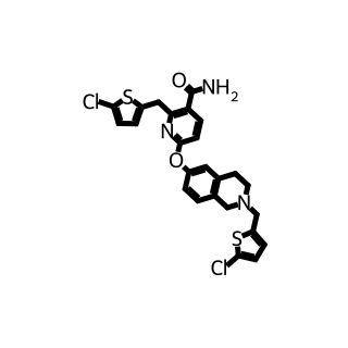 NC(=O)c1ccc(Oc2ccc3c(c2)CCN(Cc2ccc(Cl)s2)C3)nc1Cc1ccc(Cl)s1